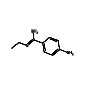 CCN=C(N)c1ccc(N)cc1